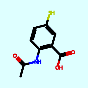 CC(=O)Nc1ccc(S)cc1C(=O)O